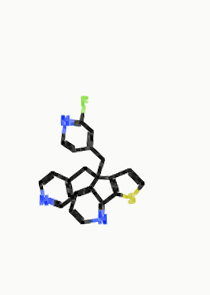 Fc1cc(CC2(Cc3ccncc3)c3cccnc3-c3sccc32)ccn1